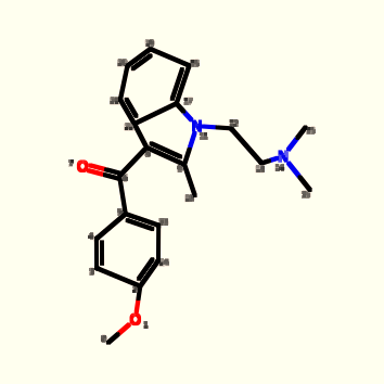 COc1ccc(C(=O)c2c(C)n(CCN(C)C)c3ccccc23)cc1